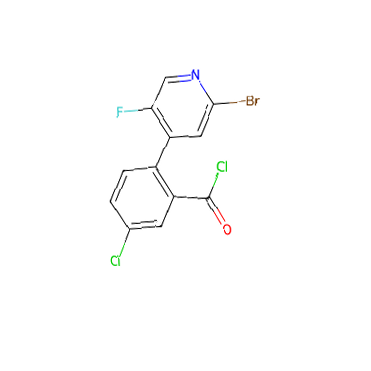 O=C(Cl)c1cc(Cl)ccc1-c1cc(Br)ncc1F